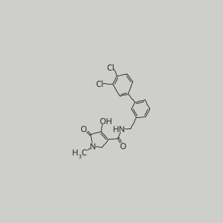 CN1CC(C(=O)NCc2cccc(-c3ccc(Cl)c(Cl)c3)c2)=C(O)C1=O